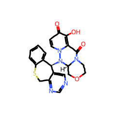 O=C1c2c(O)c(=O)ccn2N([C@@H]2c3ccccc3SCc3ncncc32)[C@@H]2COCCN12